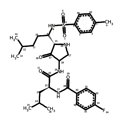 Cc1ccc(S(=O)(=O)NC(CCC(C)C)[C@@H]2NCC(NC(=O)[C@H](CC(C)C)NC(=O)c3ccc(F)cc3)C2=O)cc1